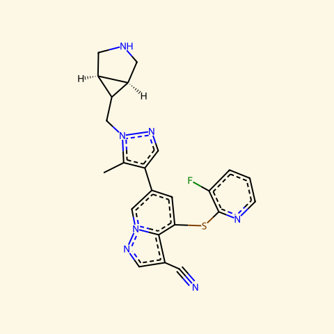 Cc1c(-c2cc(Sc3ncccc3F)c3c(C#N)cnn3c2)cnn1CC1[C@H]2CNC[C@@H]12